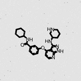 O=C(NC1CCCCC1)c1cccc(Oc2ccnc3[nH]nc(NC4CCCNC4)c23)c1